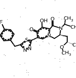 CO[C@@H](C)C[C@H]1Cn2cc(-c3nnc(Cc4ccc(F)cc4)s3)c(=O)c(O)c2C(=O)N1C(C)C